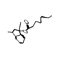 CCCCCCC(=O)OC1(C)CC(C)c2ccccc21